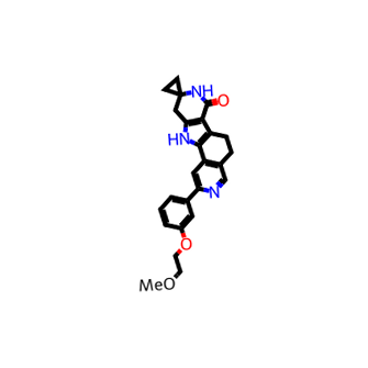 COCCOc1cccc(-c2cc3c(cn2)CCc2c-3[nH]c3c2C(=O)NC2(CC2)C3)c1